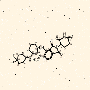 CN(c1ccc2c(c1N)C(=O)N(C1CCC(=O)NC1=O)C2=O)[C@H]1CCCC[C@H]1NC1CCC(F)(F)CC1